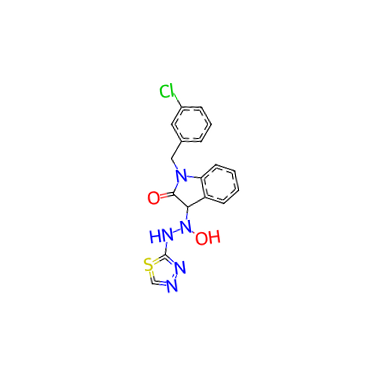 O=C1C(N(O)Nc2nncs2)c2ccccc2N1Cc1cccc(Cl)c1